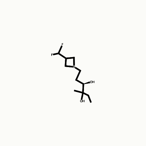 CCC(C)(O)[C@H](O)CCN1CC(C(F)F)C1